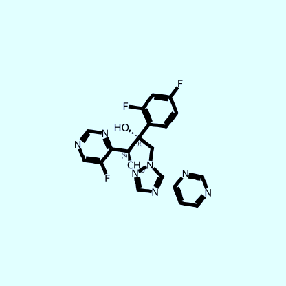 C[C@@H](c1ncncc1F)[C@](O)(Cn1cncn1)c1ccc(F)cc1F.c1cncnc1